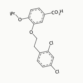 CC(C)Oc1ccc(C(=O)O)cc1OCCc1ccc(Cl)cc1Cl